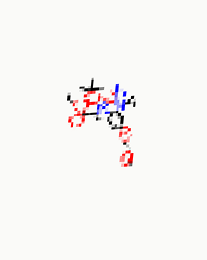 CCOC(=O)C1Cc2cc(OCCOC)cc(NC3CC3)c2N1C(=O)OC(C)(C)C